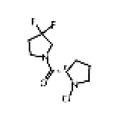 O=C([C@@H]1CCCN1Cl)N1CCC(F)(F)C1